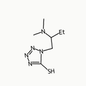 CCC(Cn1nnnc1S)N(C)C